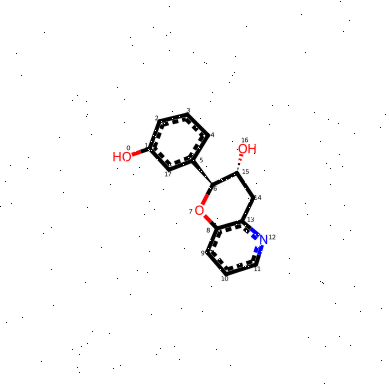 Oc1cccc([C@@H]2Oc3cccnc3C[C@H]2O)c1